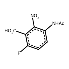 CC(=O)Nc1ccc(F)c(C(=O)O)c1[N+](=O)[O-]